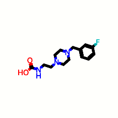 O=C(O)NCCN1CCN(Cc2cccc(F)c2)CC1